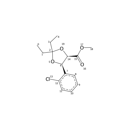 CCC1(CC)O[C@H](c2ccccc2Cl)[C@H](C(=O)OC)O1